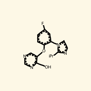 CC(C)c1nccn1-c1cc(F)ccc1Oc1cncnc1O